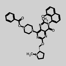 Cc1nc2c(N3CCN(OC(=O)c4ccccc4)CC3)nc(OC[C@@H]3CCCN3C)nc2c(=O)n1-c1cccc2cccc(Cl)c12